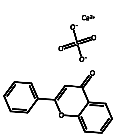 O=S(=O)([O-])[O-].O=c1cc(-c2ccccc2)oc2ccccc12.[Ca+2]